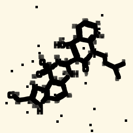 CC(C)CCn1c(=O)c(C2=NS(=O)(=O)c3c(ccc4[nH]c(CCl)nc34)N2)c(O)c2cccnc21